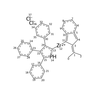 CC(C)=C1C=c2ccccc2=[C]1[Zr+2][c]1[pH]c(-c2ccccc2)c(-c2ccccc2)c1-c1ccccc1.[Cl-].[Cl-]